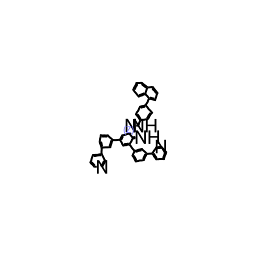 N=C1C(c2cccc(-c3cccnc3)c2)=CC(c2cccc(-c3cccnc3)c2)=C/C1=N/Nc1ccc(-c2cccc3ccccc23)cc1